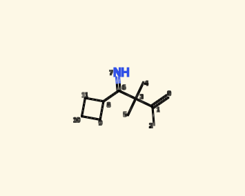 C=C(C)C(C)(C)C(=N)C1CCC1